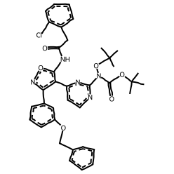 CC(C)(C)OC(=O)N(OC(C)(C)C)c1nccc(-c2c(-c3cccc(OCc4ccccc4)c3)noc2NC(=O)Cc2ccccc2Cl)n1